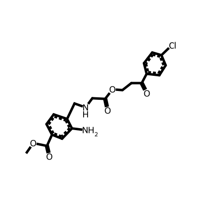 COC(=O)c1ccc(CNCC(=O)OCCC(=O)c2ccc(Cl)cc2)c(N)c1